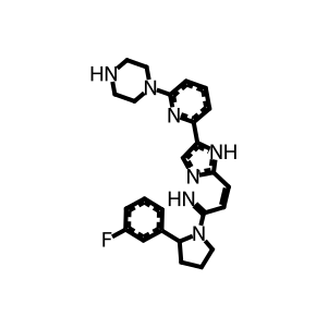 N=C(/C=C\c1ncc(-c2cccc(N3CCNCC3)n2)[nH]1)N1CCCC1c1cccc(F)c1